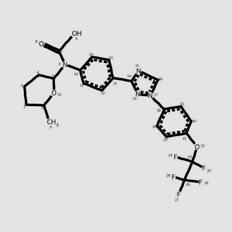 CC1CCCC(N(C(=O)O)c2ccc(-c3ncn(-c4ccc(OC(F)(F)C(F)(F)F)cc4)n3)cc2)O1